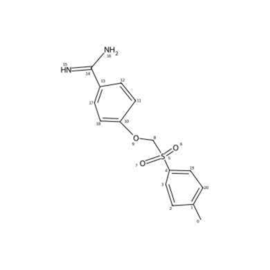 Cc1ccc(S(=O)(=O)COc2ccc(C(=N)N)cc2)cc1